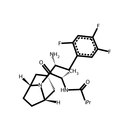 CC(C)C(=O)N[C@@H](C)C(=O)N1[C@@H]2CC[C@H]1C[C@@H]([C@H](N)Cc1cc(F)c(F)cc1F)C2